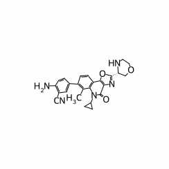 Cc1c(-c2ccc(N)c(C#N)c2)ccc2c3oc([C@H]4COCCN4)nc3c(=O)n(C3CC3)c12